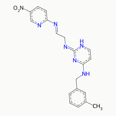 Cc1cccc(CNc2cc[nH]c(=NCC=Nc3ccc([N+](=O)[O-])cn3)n2)c1